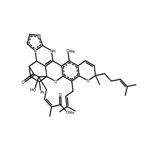 COC(=O)/C(C)=C\CC1(O)C(=O)C2CC(C(C)C)C13Oc1c(CC=C(C)C)c4c(c(OC)c1C1=C3C2n2ccnc2N1)C=CC(C)(CCC=C(C)C)O4